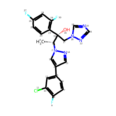 C[C@@H](n1cc(-c2ccc(F)c(Cl)c2)cn1)[C@](O)(Cn1cncn1)c1ccc(F)cc1F